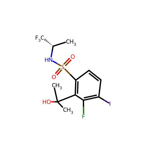 C[C@H](NS(=O)(=O)c1ccc(I)c(F)c1C(C)(C)O)C(F)(F)F